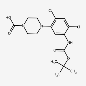 CC(C)(C)OC(=O)Nc1cc(N2CCN(C(=O)O)CC2)c(Cl)cc1Cl